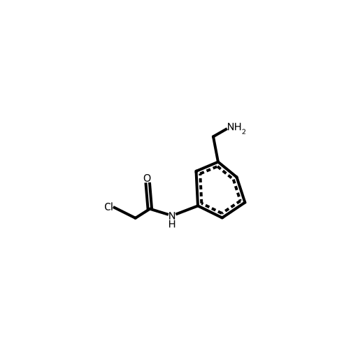 NCc1cccc(NC(=O)CCl)c1